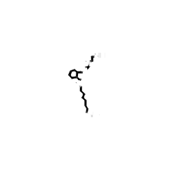 CCCCCCCCCCCCCCCCCCNC(=O)C1CC=CCC1COC(=O)NCCN